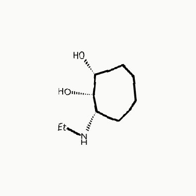 CCN[C@H]1CCCC[C@@H](O)[C@H]1O